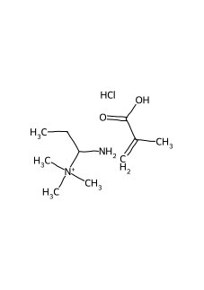 C=C(C)C(=O)O.CCC(N)[N+](C)(C)C.Cl